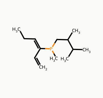 C=C/C(=C\CC)P(C)CC(C)C(C)C